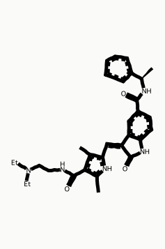 CCN(CC)CCNC(=O)c1c(C)[nH]c(C=C2C(=O)Nc3ccc(C(=O)N[C@H](C)c4ccccc4)cc32)c1C